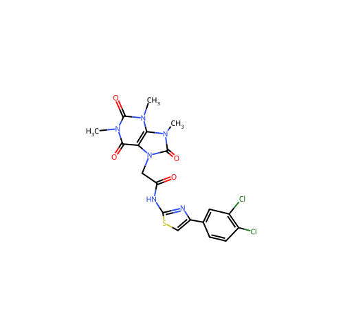 Cn1c(=O)c2c(n(C)c1=O)n(C)c(=O)n2CC(=O)Nc1nc(-c2ccc(Cl)c(Cl)c2)cs1